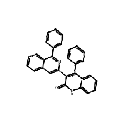 O=c1[nH]c2ccccc2c(-c2ccccc2)c1-c1cc2ccccc2c(-c2ccccc2)n1